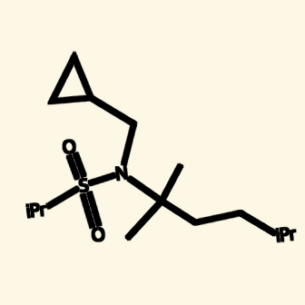 CC(C)CCC(C)(C)N(CC1CC1)S(=O)(=O)C(C)C